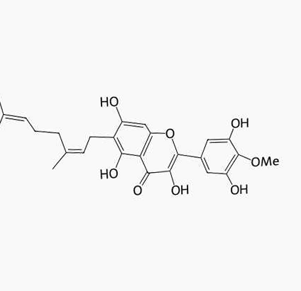 COc1c(O)cc(-c2oc3cc(O)c(CC=C(C)CCC=C(C)C)c(O)c3c(=O)c2O)cc1O